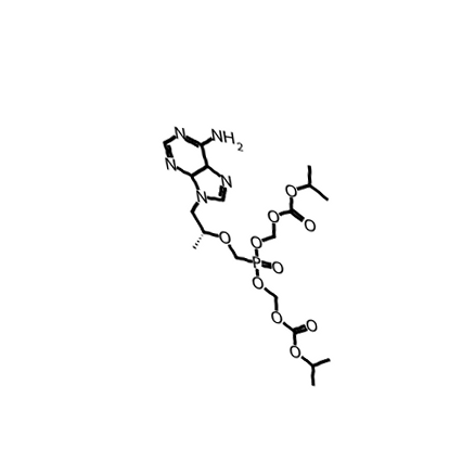 CC(C)OC(=O)OCOP(=O)(CO[C@H](C)CN1C=NC2C(N)=NC=NC21)OCOC(=O)OC(C)C